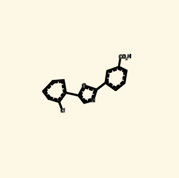 O=C(O)c1cccc(-c2ncc(-c3ccccc3Cl)o2)c1